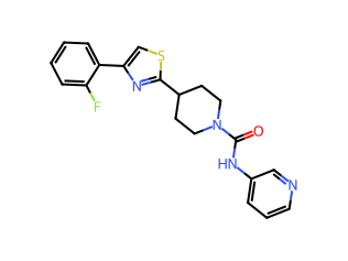 O=C(Nc1cccnc1)N1CCC(c2nc(-c3ccccc3F)cs2)CC1